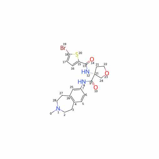 CN1CCc2ccc(NC(=O)[C@@]3(NC(=O)c4ccc(Br)s4)CCOC3)cc2CC1